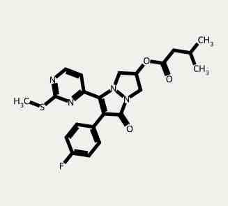 CSc1nccc(-c2c(-c3ccc(F)cc3)c(=O)n3n2CC(OC(=O)CC(C)C)C3)n1